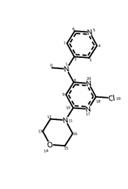 CN(c1ccncc1)c1cc(N2CCOCC2)nc(Cl)n1